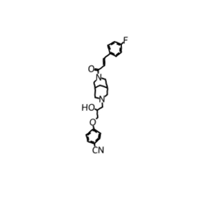 N#Cc1ccc(OCC(O)CN2CC3CC(C2)CN(C(=O)C=Cc2ccc(F)cc2)C3)cc1